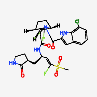 CS(=O)(=O)/C(F)=C/[C@@H](C[C@@H]1CCNC1=O)NC(=O)[C@@H]1[C@@H]2CC[C@@H](CC2(F)F)N1C(=O)c1cc2cccc(Cl)c2[nH]1